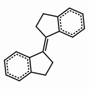 c1ccc2c(c1)CCC2=C1CCc2ccccc21